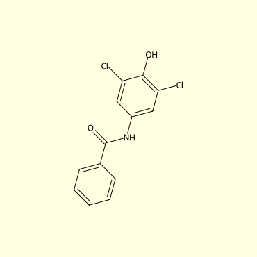 O=C(Nc1cc(Cl)c(O)c(Cl)c1)c1ccccc1